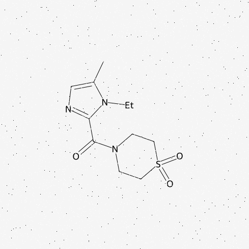 CCn1c(C)cnc1C(=O)N1CCS(=O)(=O)CC1